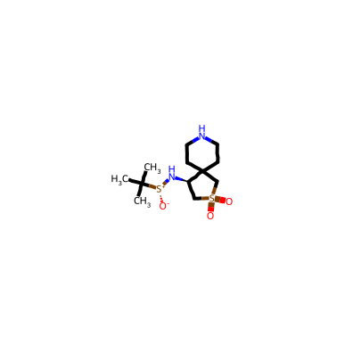 CC(C)(C)[S@@+]([O-])N[C@@H]1CS(=O)(=O)CC12CCNCC2